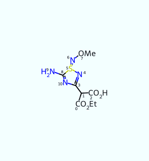 CCOC(=O)C(C(=O)O)C1=NS(=NOC)C(N)=N1